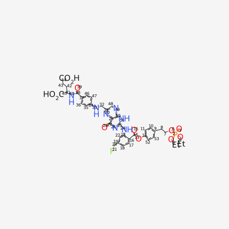 CCOP(=O)(OCC)OCCc1ccc(OC(=O)c2ccc(CF)cc2Nc2nc(=O)c3nc(CNc4ccc(C(=O)N[C@@H](CCC(=O)O)C(=O)O)cc4)cnc3[nH]2)cc1